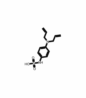 C=CCN(CC=C)c1ccc(NS(=O)(=O)O)cc1